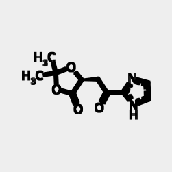 CC1(C)OC(=O)[C@H](CC(=O)c2ncc[nH]2)O1